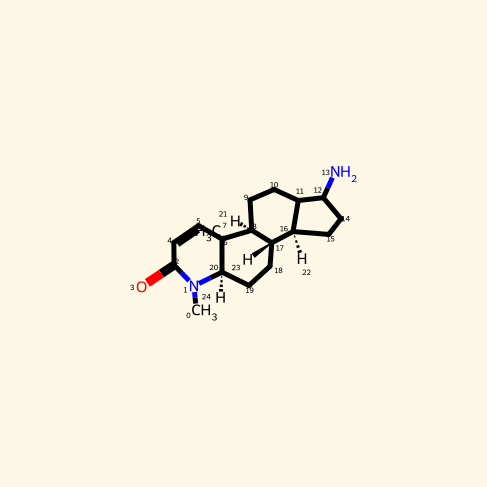 CN1C(=O)C=C[C@]2(C)[C@H]3CCC4C(N)CC[C@H]4[C@@H]3CC[C@@H]12